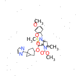 COC(=O)N1[C@H](C)C[C@H](N(Cc2ccc(OC)cc2)S(C)(=O)=O)[C@@H]1COC1CCC2(c3ncccn3)CC2C1